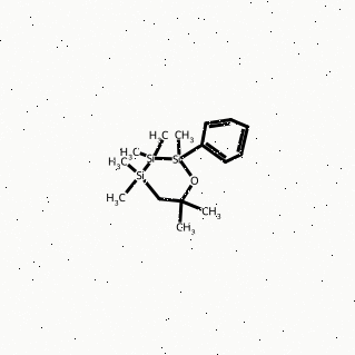 CC1(C)C[Si](C)(C)[Si](C)(C)[Si](C)(c2ccccc2)O1